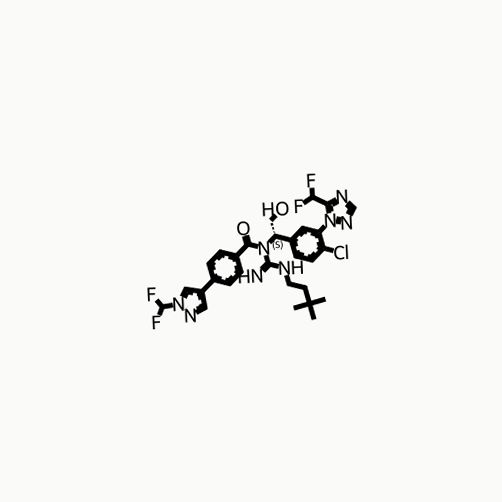 CC(C)(C)CCNC(=N)N(C(=O)c1ccc(-c2cnn(C(F)F)c2)cc1)[C@H](CO)c1ccc(Cl)c(-n2ncnc2C(F)F)c1